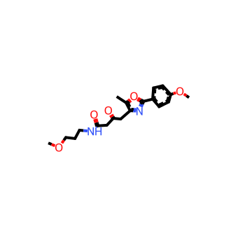 COCCCNC(=O)CC(=O)Cc1nc(-c2ccc(OC)cc2)oc1C